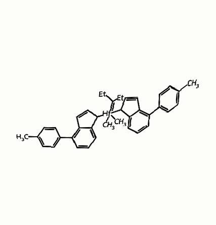 CC[C](CC)=[Hf]([CH3])([CH3])([CH]1C=Cc2c(-c3ccc(C)cc3)cccc21)[CH]1C=Cc2c(-c3ccc(C)cc3)cccc21